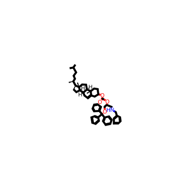 CC(C)CCC[C@H](C)[C@@H]1CC[C@@H]2[C@H]3CC=C4CC(OC(=O)OC(CNCc5ccccc5)COC(c5ccccc5)(c5ccccc5)c5ccccc5)CC[C@@]4(C)[C@@H]3CC[C@]21C